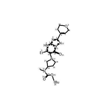 CCc1[nH]c2nc(C3=CCOCC3)nn2c(=O)c1N1CCC(N(C)C(=O)OC(C)(C)C)C1